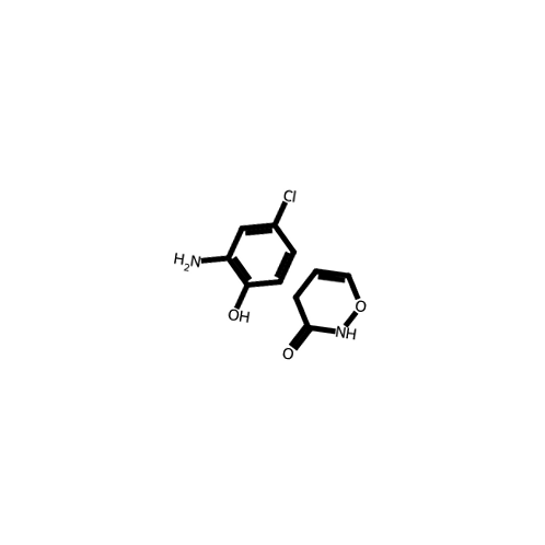 Nc1cc(Cl)ccc1O.O=C1CC=CON1